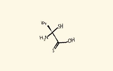 CC(C)[C@@](N)(S)C(O)=S